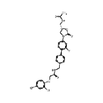 CC(=O)NC[C@H]1CN(c2ccc(-c3ccc(CNC(=O)COc4ccc(Cl)cc4Cl)cc3)c(F)c2)C(=O)O1